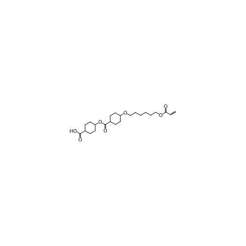 C=CC(=O)OCCCCCCOC1CCC(C(=O)OC2CCC(C(=O)O)CC2)CC1